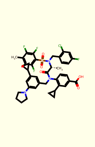 Cc1c(F)c(F)c(S(=O)(=O)N(Cc2ccc(F)cc2Cl)[C@H](C)C(=O)N(Cc2cc(C3CC3)cc(N3CCCC3)c2)c2ccc(C(=O)O)cc2C2CC2)c(F)c1F